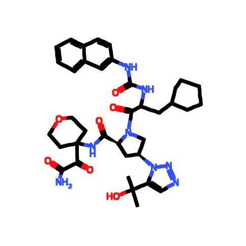 CC(C)(O)c1cnnn1[C@H]1C[C@@H](C(=O)NC2(C(=O)C(N)=O)CCOCC2)N(C(=O)C(CC2CCCCC2)NC(=O)Nc2ccc3ccccc3c2)C1